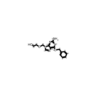 Nc1nc(OCc2ccccc2)c2ncn(COCCO)c2n1